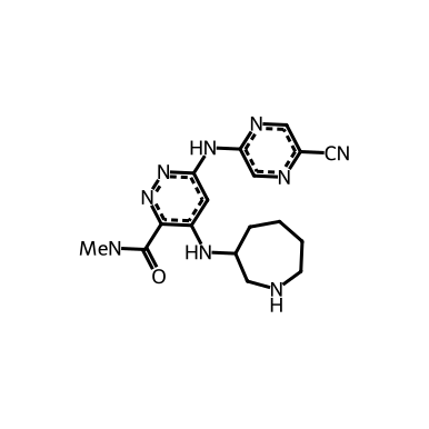 CNC(=O)c1nnc(Nc2cnc(C#N)cn2)cc1NC1CCCCNC1